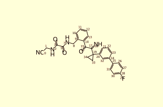 N#CCNC(=O)C(=O)NCc1ccccc1C(=O)C(=N)C1(c2cccc(-c3ccc(F)cc3)c2)CC1